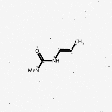 CC=CNC(=O)NC